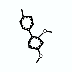 COc1ccc(-c2ccc(C)cc2)c(OC)c1